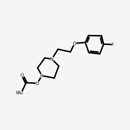 CC(C)(C)C(=O)ON1CCN(CCOc2ccc(F)cc2)CC1